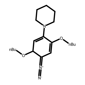 CCCCOC1=CC(=[N+]=[N-])C(OCCCC)C=C1N1CCCCC1